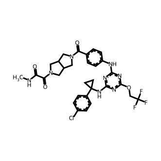 CNC(=O)C(=O)N1CC2CN(C(=O)c3ccc(Nc4nc(NC5(c6ccc(Cl)cc6)CC5)nc(OCC(F)(F)F)n4)cc3)CC2C1